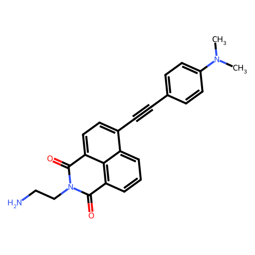 CN(C)c1ccc(C#Cc2ccc3c4c(cccc24)C(=O)N(CCN)C3=O)cc1